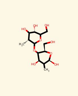 CC1[C@@H](O)C(OC2OC(CO)[C@@H](O)C(O)[C@H]2C)[C@@H](CO)O[C@H]1O